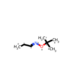 CCC=NOC(C)(C)C